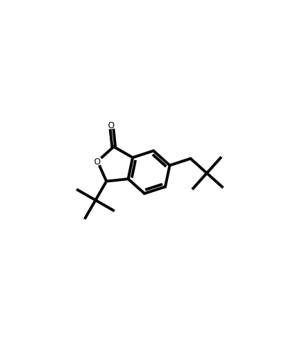 CC(C)(C)Cc1ccc2c(c1)C(=O)OC2C(C)(C)C